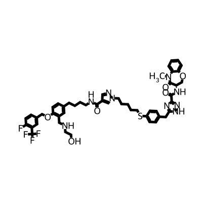 CN1C(=O)[C@@H](NC(=O)c2n[nH]c(Cc3ccc(SCCCCCn4cc(C(=O)NCCCCc5ccc(OCc6ccc(F)c(C(F)(F)F)c6)c(CNCCO)c5)cn4)cc3)n2)COc2ccccc21